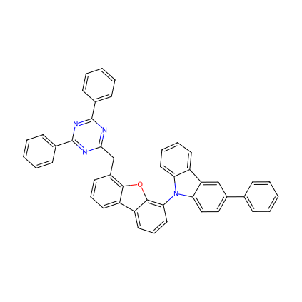 c1ccc(-c2ccc3c(c2)c2ccccc2n3-c2cccc3c2oc2c(Cc4nc(-c5ccccc5)nc(-c5ccccc5)n4)cccc23)cc1